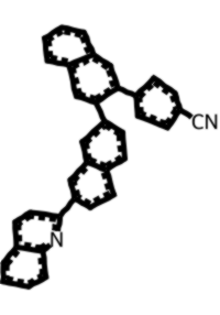 N#Cc1ccc(-c2cc3ccccc3cc2-c2ccc3ccc(-c4ccc5ccccc5n4)cc3c2)cc1